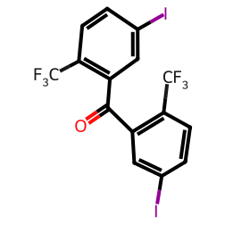 O=C(c1cc(I)ccc1C(F)(F)F)c1cc(I)ccc1C(F)(F)F